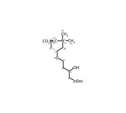 CCCCCCCCCCCC(O)CCO[C@H](CC(=O)O)C[N+](C)(C)C